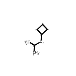 [CH2]C(C)OC1CCC1